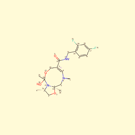 C[C@H]1CO[C@@H]2CN(C)/C=C(/C(=O)NCc3ccc(F)cc3F)COC(C)(O)N12